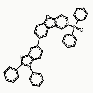 O=P(c1ccccc1)(c1ccccc1)c1ccc2oc3ccc(-c4ccc5c(c4)nc(-c4ccccc4)n5-c4ccccc4)cc3c2c1